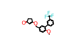 COc1ccc(COC2=CC(=O)CC2)cc1-c1cccc(C(F)(F)F)c1